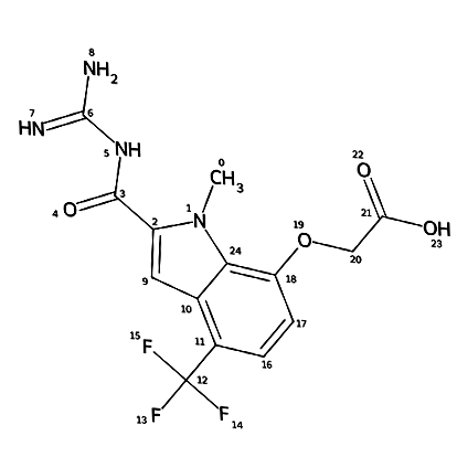 Cn1c(C(=O)NC(=N)N)cc2c(C(F)(F)F)ccc(OCC(=O)O)c21